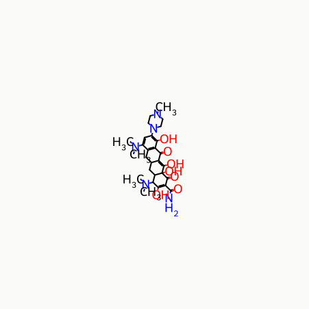 CN1CCN(c2cc(N(C)C)c3c(c2O)C(=O)C2=C(O)C4(O)C(=O)C(C(N)=O)=C(O)C(N(C)C)C4CC2C3)CC1